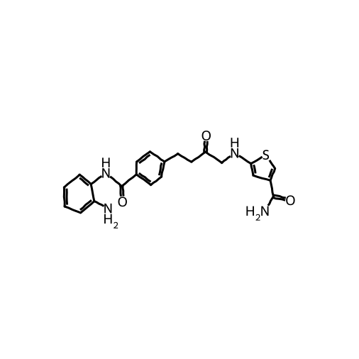 NC(=O)c1csc(NCC(=O)CCc2ccc(C(=O)Nc3ccccc3N)cc2)c1